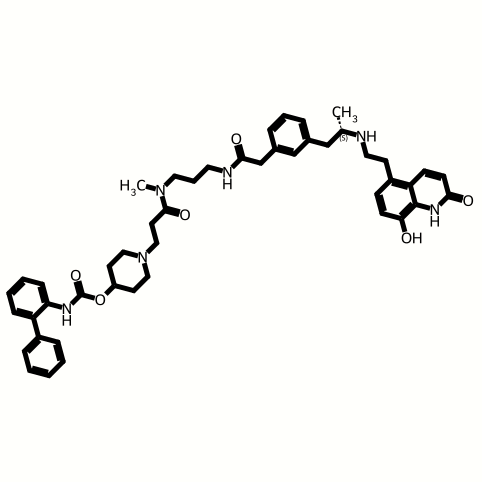 C[C@@H](Cc1cccc(CC(=O)NCCCN(C)C(=O)CCN2CCC(OC(=O)Nc3ccccc3-c3ccccc3)CC2)c1)NCCc1ccc(O)c2[nH]c(=O)ccc12